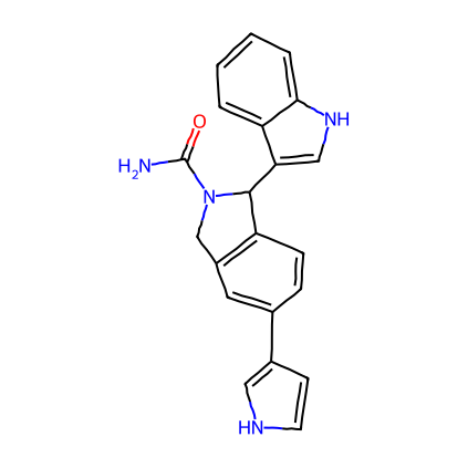 NC(=O)N1Cc2cc(-c3cc[nH]c3)ccc2C1c1c[nH]c2ccccc12